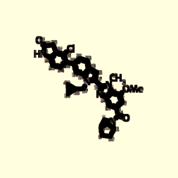 COc1cc(C(=O)N2CC3CCC2C3)cc2nc(-c3cc4ccc(-c5ccc6c(c5Cl)CC(=O)N6)cc4n3CC3CC3)n(C)c12